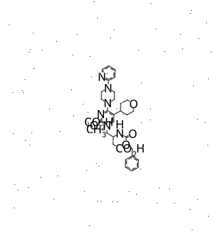 CC(=O)O.O=C(O)CC(Cn1cc(C2CCOCC2)c(N2CCN(c3ccccn3)CC2)nc1=O)NC(=O)OCc1ccccc1